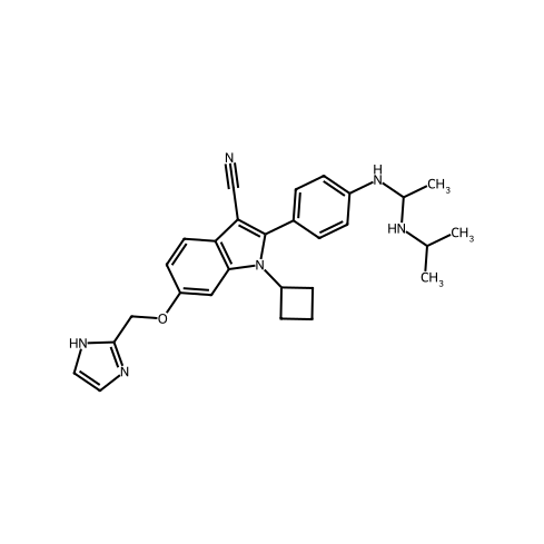 CC(C)NC(C)Nc1ccc(-c2c(C#N)c3ccc(OCc4ncc[nH]4)cc3n2C2CCC2)cc1